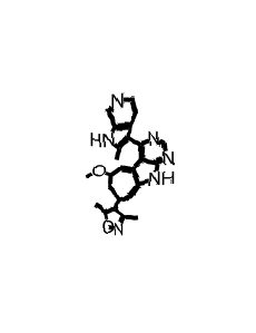 COC1C=c2c([nH]c3ncnc(-c4c(C)[nH]c5cnccc45)c23)=CC(C2C(C)=NOC2C)C1